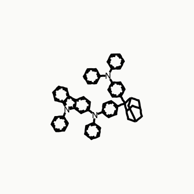 c1ccc(N(c2ccccc2)c2ccc(C3(c4ccc(N(c5ccccc5)c5ccc6c7ccccc7n(-c7ccccc7)c6c5)cc4)C4CC5CC(C4)CC3C5)cc2)cc1